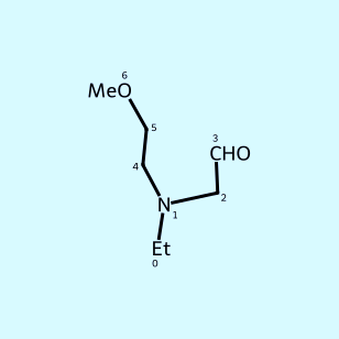 CCN(CC=O)CCOC